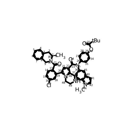 C[C@@H]1Cc2ccccc2CN1C(=O)c1ccc(Cl)cc1-c1cc(C(=O)N(c2ccc(OC(=O)C(C)(C)C)cc2)c2ccc3c(ccn3C)c2)c2n1CCNC2